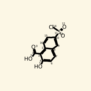 O=C(O)c1c(O)ccc2cc(S(=O)(=O)Cl)ccc12